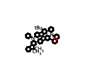 CC(C)(C)c1cccc2c1-c1ccc(N(c3ccccc3)c3ccc4c(c3)-c3ccccc3C4(C)C)cc1C21c2ccccc2-c2cc(-c3ccccc3)c(N(c3ccccc3)c3ccccc3)cc21